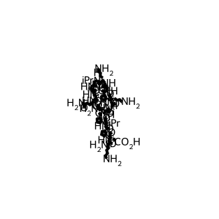 CC(C)[C@H](NC(=O)[C@H](CCCCN)NC(=O)[C@H](C)NC(=O)[C@@H]1CCCN1C(=O)[C@H](CCCCN)NC(=O)[C@H](C)NC(=O)[C@H](CCC(N)=O)NC(=O)[C@@H]1CCCN1C(=O)[C@@H](NC(=O)[C@@H]1CCCN1C(=O)[C@H](CCC(=O)O)NC(=O)[C@@H](N)CCCCN)C(C)C)C(=O)N[C@@H](C)C(=O)N[C@@H](C)C(=O)N[C@@H](CCC(N)=O)C(=O)O